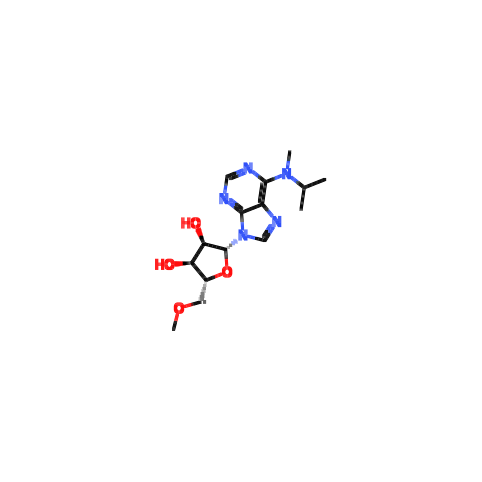 CO[CH][C@H]1O[C@@H](n2cnc3c(N(C)C(C)C)ncnc32)[C@H](O)[C@@H]1O